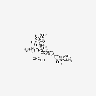 C[n+]1cc(-c2ccc3c(c2)CC[C@H](C(C)(O/N=C(\C(=O)N[C@@H]2C(=O)N(OS(=O)(=O)[O-])C2(C)C)c2csc(N)n2)C(=O)O)O3)ccc1NC(CN)CN.O=CO